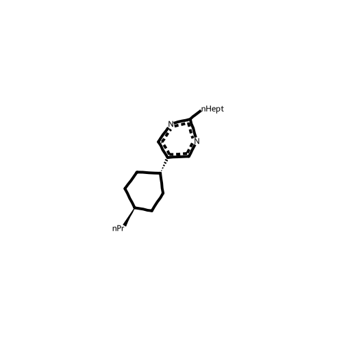 CCCCCCCc1ncc([C@H]2CC[C@H](CCC)CC2)cn1